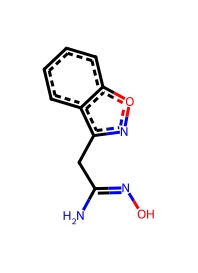 NC(Cc1noc2ccccc12)=NO